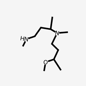 CNCCC(C)N(C)CCC(C)OC